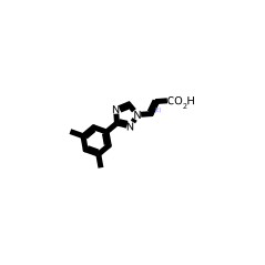 Cc1cc(C)cc(-c2ncn(/C=C/C(=O)O)n2)c1